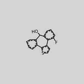 OC1c2ccccc2-c2sccc2-c2c(F)cccc21